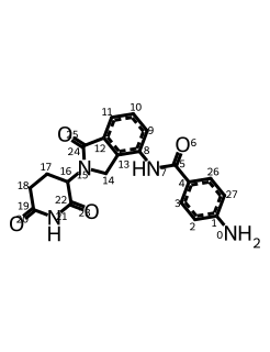 Nc1ccc(C(=O)Nc2cccc3c2CN(C2CCC(=O)NC2=O)C3=O)cc1